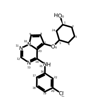 O[C@H]1CCCC(Oc2ccn3ncnc(Nc4cccc(Cl)c4)c23)C1